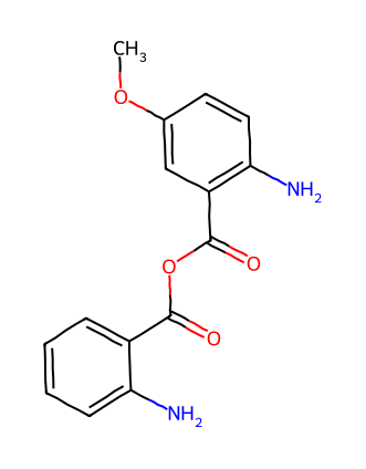 COc1ccc(N)c(C(=O)OC(=O)c2ccccc2N)c1